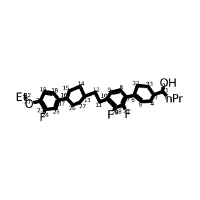 CCCC(O)C1CC=C(c2ccc(CCC3CCC(c4ccc(OCC)c(F)c4)CC3)c(F)c2F)CC1